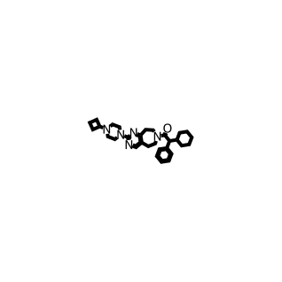 O=C(C(c1ccccc1)C1CCCCC1)N1CCc2cnc(N3CCN(C4CCC4)CC3)nc2CC1